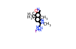 Cn1nc2c(c1-c1nnn(I)n1)CC[C@H]1C(C)(C)c3oncc3C[C@]21C